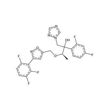 C[C@@H](OCc1cc(-c2c(F)ccc(F)c2F)no1)C(O)(Cn1cncn1)c1ccc(F)cc1F